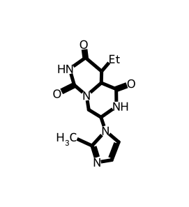 CCC1C(=O)NC(=O)N2CC(n3ccnc3C)NC(=O)C12